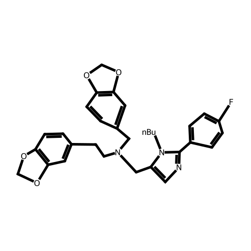 CCCCn1c(CN(CCc2ccc3c(c2)OCO3)Cc2ccc3c(c2)OCO3)cnc1-c1ccc(F)cc1